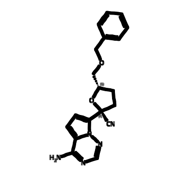 N#C[C@]1(c2ccc3c(N)ncnn23)CC[C@@H](COCc2ccccc2)O1